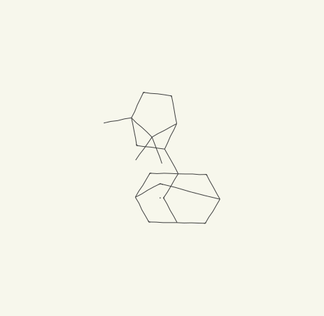 CC12CCC(C(C34[CH]C5CC(CC(C5)C3)C4)C1)C2(C)C